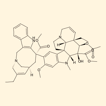 CCC1=C[C@H]2C[N@](C1)Cc1c([nH]c3ccccc13)[C@@](C(=O)OC)(c1cc3c(cc1OC)N(C)[C@H]1[C@@](O)(C(=O)OC)[C@H](OC(C)=O)[C@@]4(CC)C=CCN5CC[C@]31[C@H]54)C2